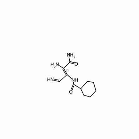 N=C/C(NC(=O)C1CCCCC1)=C(\N)C(N)=O